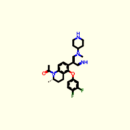 CC(=O)N1c2ccc(/C(C=N)=C/N(C)C3CCNCC3)c(Oc3ccc(F)c(F)c3)c2CC[C@@H]1C